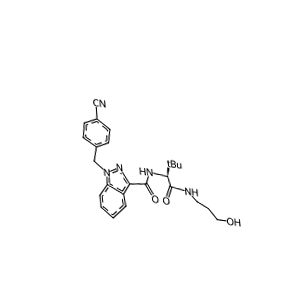 CC(C)(C)[C@H](NC(=O)c1nn(Cc2ccc(C#N)cc2)c2ccccc12)C(=O)NCCCO